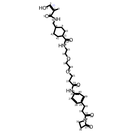 C/C(=C/O)C(=O)NCC1CCC(C(=O)NCCOCCOCCC(=O)Nc2ccc(CCC(=O)N3CCC3=O)cc2)CC1